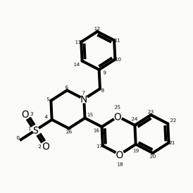 CS(=O)(=O)C1CCN(Cc2ccccc2)C(C2=COc3ccccc3O2)C1